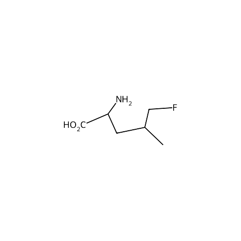 CC(CF)CC(N)C(=O)O